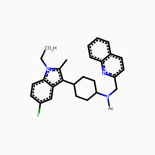 CC(=O)N(Cc1ccc2ccccc2n1)C1CCC(c2c(C)n(CC(=O)O)c3ccc(F)cc23)CC1